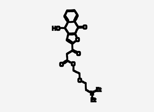 CCN(CC)CCOCCOC(=O)CC(=O)c1cc2c(o1)C(=O)c1ccccc1C2O